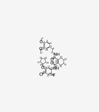 COc1ccc(CCNC(=O)C2=C(C(=O)Nc3cc(OC4CCCC4)c(Cl)cc3F)CCCC2)cc1OC